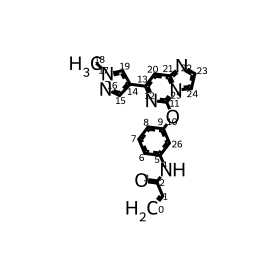 C=CC(=O)Nc1cccc(Oc2nc(-c3cnn(C)c3)cc3nccn23)c1